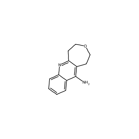 Nc1c2c(nc3ccccc13)CCOCC2